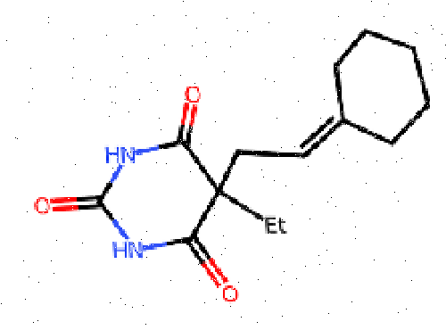 CCC1(CC=C2CCCCC2)C(=O)NC(=O)NC1=O